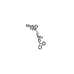 CNC1=CC=CC12N[C@@H]2CCCCNCOCC1c2ccccc2-c2ccccc21